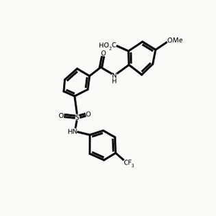 COc1ccc(NC(=O)c2cccc(S(=O)(=O)Nc3ccc(C(F)(F)F)cc3)c2)c(C(=O)O)c1